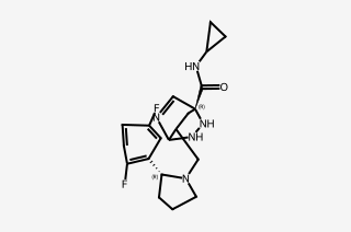 O=C(NC1CC1)[C@@]12C=NC(NN1)C(CN1CCC[C@@H]1c1cc(F)ccc1F)C2